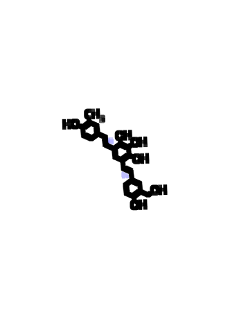 Cc1cc(/C=C/c2cc(/C=C/c3ccc(O)c(CO)c3)c(O)c(O)c2O)ccc1O